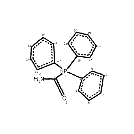 NC(=O)[PH](c1ccccc1)(c1ccccc1)c1ccccc1